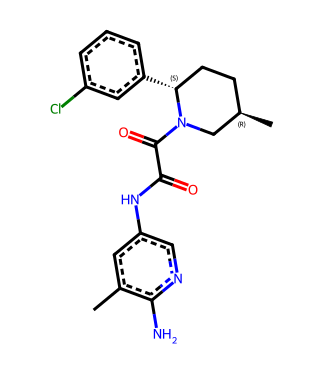 Cc1cc(NC(=O)C(=O)N2C[C@H](C)CC[C@H]2c2cccc(Cl)c2)cnc1N